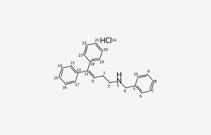 C(CCNCc1ccccc1)=C(c1ccccc1)c1ccccc1.Cl